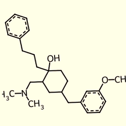 COc1cccc(CC2CCC(O)(CCCc3ccccc3)C(CN(C)C)C2)c1